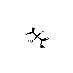 CCC(C)(C(=O)C(C)C)C(=O)C(C)(C)C